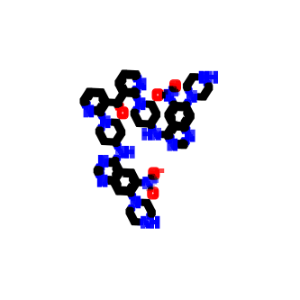 O=C(c1cccnc1N1CCC(Nc2ncnc3cc(N4CCNCC4)c([N+](=O)[O-])cc23)CC1)c1cccnc1N1CCC(Nc2ncnc3cc(N4CCNCC4)c([N+](=O)[O-])cc23)CC1